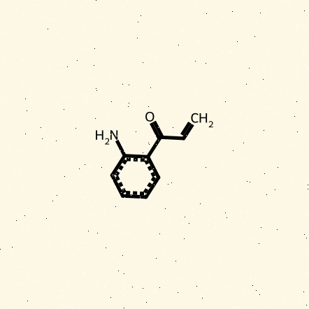 C=CC(=O)c1ccccc1N